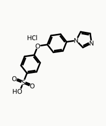 Cl.O=S(=O)(O)c1ccc(Oc2ccc(-n3ccnc3)cc2)cc1